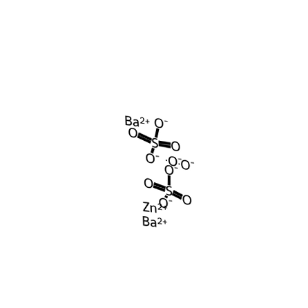 O=S(=O)([O-])[O-].O=S(=O)([O-])[O-].[Ba+2].[Ba+2].[O-].[O-].[Zn+2]